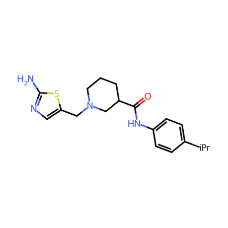 CC(C)c1ccc(NC(=O)C2CCCN(Cc3cnc(N)s3)C2)cc1